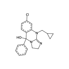 OC1(c2ccccc2)c2ccc(Cl)cc2N(CC2CC2)C2=NCCN21